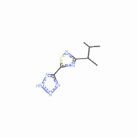 CC(C)C(C)c1nsc(-c2nn[nH]n2)n1